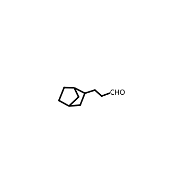 O=CCCC1CC2CCC1C2